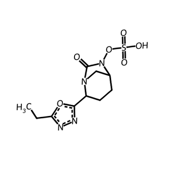 CCc1nnc(C2CCC3CN2C(=O)N3OS(=O)(=O)O)o1